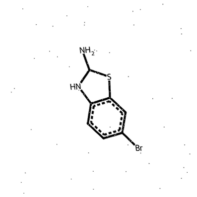 NC1Nc2ccc(Br)cc2S1